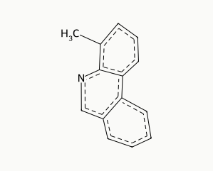 Cc1cccc2c1ncc1ccccc12